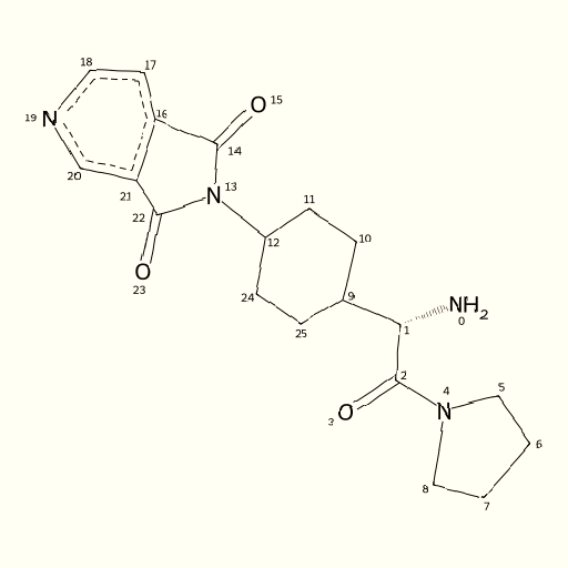 N[C@H](C(=O)N1CCCC1)C1CCC(N2C(=O)c3ccncc3C2=O)CC1